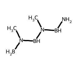 BN(C)BN(C)BN